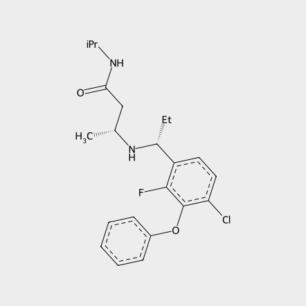 CC[C@@H](N[C@H](C)CC(=O)NC(C)C)c1ccc(Cl)c(Oc2ccccc2)c1F